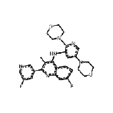 Cc1c(-c2cncc(F)c2)nc2cc(F)ccc2c1Nc1cc(N2CCOCC2)cnc1N1CCOCC1